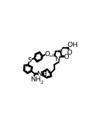 N=C(N)c1cccc(Sc2ccc(OC[C@@H]3C[C@@H](CC(=O)O)C(=O)N3CCCc3ccccc3)cc2)c1